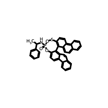 CC(NP1(=O)OSc2ccc3c(ccc4ccccc43)c2-c2c(ccc3c2ccc2ccccc23)O1)c1ccccc1